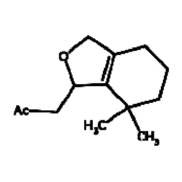 CC(=O)CC1OCC2=C1C(C)(C)CCC2